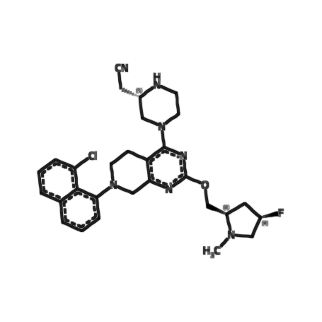 CN1C[C@H](F)C[C@@H]1COc1nc2c(c(N3CCN[C@@H](CC#N)C3)n1)CCN(c1cccc3cccc(Cl)c13)C2